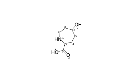 O=C(O)C1CCC(O)CCN1